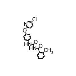 Cc1ccccc1C(=O)NC(=O)Nc1ccc(Oc2ccc(Cl)cn2)cc1